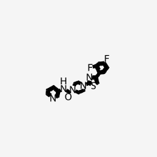 O=C(Nc1cccnc1)N1CCN(c2nc(-c3ccc(F)cc3F)cs2)CC1